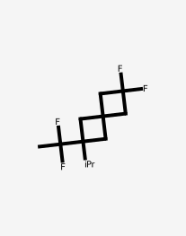 CC(C)C1(C(C)(F)F)CC2(CC(F)(F)C2)C1